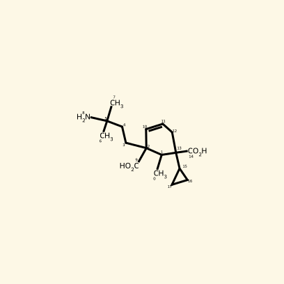 CC1C(CCC(C)(C)N)(C(=O)O)C=CCC1(C(=O)O)C1CC1